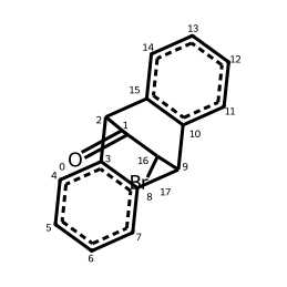 O=C1C2c3ccccc3C(c3ccccc32)C1Br